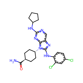 NC(=O)[C@H]1CC[C@H](n2c(Nc3ccc(Cl)cc3Cl)nc3cnc(NC4CCCC4)nc32)CC1